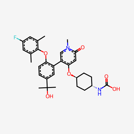 Cc1cc(F)cc(C)c1Oc1ccc(C(C)(C)O)cc1-c1cn(C)c(=O)cc1O[C@H]1CC[C@H](NC(=O)O)CC1